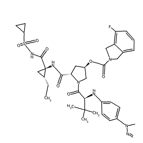 CC[C@@H]1C[C@]1(NC(=O)[C@@H]1C[C@@H](OC(=O)N2Cc3cccc(F)c3C2)CN1C(=O)[C@@H](Nc1ccc(-n2cccn2)cc1)C(C)(C)C)C(=O)NS(=O)(=O)C1CC1